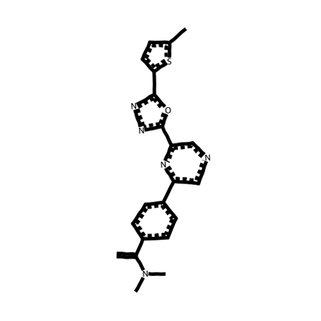 C=C(c1ccc(-c2cncc(-c3nnc(-c4ccc(C)s4)o3)n2)cc1)N(C)C